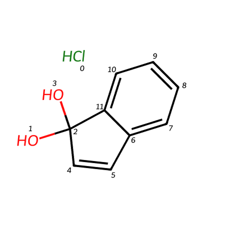 Cl.OC1(O)C=Cc2ccccc21